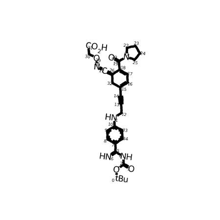 CC(C)(C)OC(=O)NC(=N)c1ccc(NCC#CC2=CC=C(C(=O)N3CCCC3)C(=C=NOCC(=O)O)C2)cc1